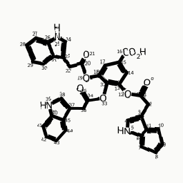 O=C(Cc1c[nH]c2ccccc12)Oc1cc(C(=O)O)cc(OC(=O)Cc2c[nH]c3ccccc23)c1OC(=O)Cc1c[nH]c2ccccc12